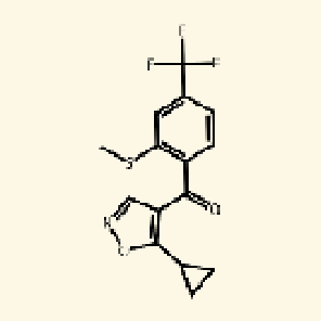 CSc1cc(C(F)(F)F)ccc1C(=O)c1cnoc1C1CC1